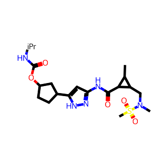 CC(C)NC(=O)OC1CCC(c2cc(NC(=O)C3C(C)C3CN(C)S(C)(=O)=O)n[nH]2)C1